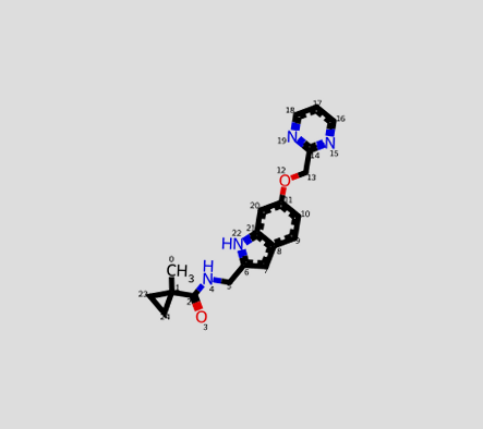 CC1(C(=O)NCc2cc3ccc(OCc4ncccn4)cc3[nH]2)CC1